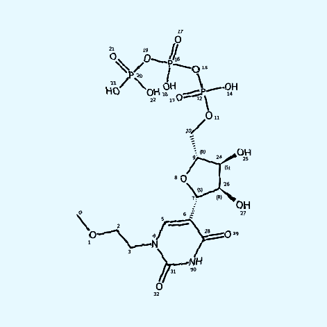 COCCn1cc([C@@H]2O[C@H](COP(=O)(O)OP(=O)(O)OP(=O)(O)O)[C@@H](O)[C@H]2O)c(=O)[nH]c1=O